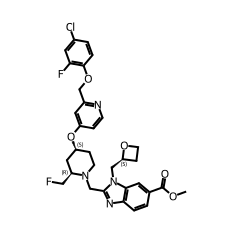 COC(=O)c1ccc2nc(CN3CC[C@H](Oc4ccnc(COc5ccc(Cl)cc5F)c4)C[C@@H]3CF)n(C[C@@H]3CCO3)c2c1